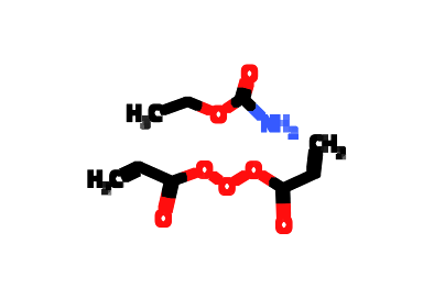 C=CC(=O)OOOC(=O)C=C.CCOC(N)=O